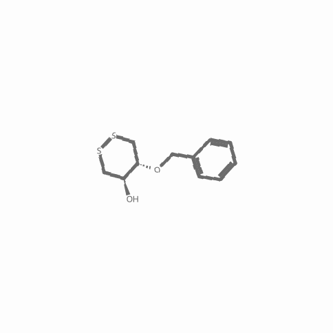 O[C@H]1CSSC[C@@H]1OCc1ccccc1